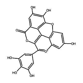 O=c1oc2c(-c3cc(O)c(O)c(O)c3)[o+]c3cc(O)cc4c3c2c2c(c(O)c(O)cc12)O4